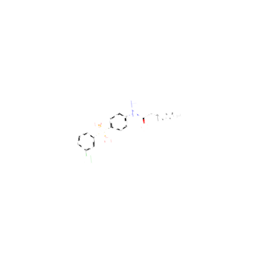 CNCC(=O)Nc1ccc(S(=O)(=O)c2cccc(Cl)c2)cc1